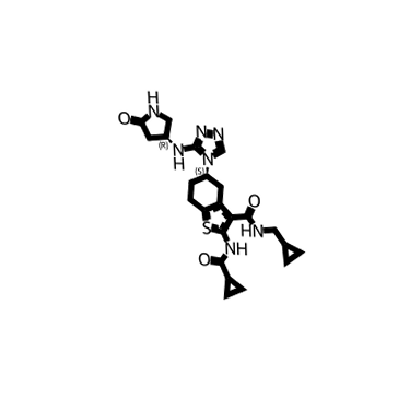 O=C1C[C@@H](Nc2nncn2[C@H]2CCc3sc(NC(=O)C4CC4)c(C(=O)NCC4CC4)c3C2)CN1